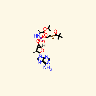 CC(C)OC(=O)[C@H](C)NP(=O)(OCCSC(=O)C(C)(C)C)OC1C2[C@@H]1O[C@@H](n1cnc3c(N)ncnc31)[C@H]2C